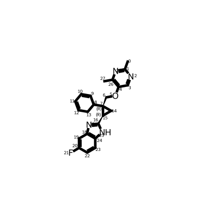 Cc1ncc(OC[C@@]2(C3C=CC=CC3)C[C@H]2c2nc3cc(F)ccc3[nH]2)c(C)n1